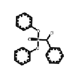 O=P(Oc1ccccc1)(Oc1ccccc1)C(Cl)c1ccccc1